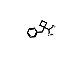 CCC(O)C1(Cc2ccccc2)CCC1